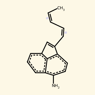 C/C=C\C=C/C1=Cc2cccc3c(N)ccc1c23